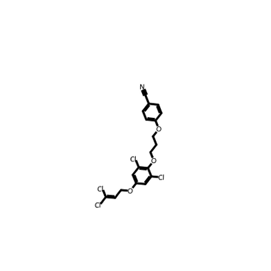 N#Cc1ccc(OCCCOc2c(Cl)cc(OCC=C(Cl)Cl)cc2Cl)cc1